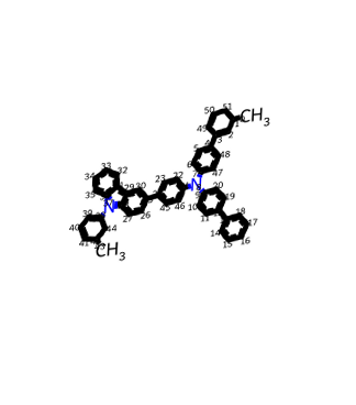 CC1C=C(c2ccc(N(c3ccc(-c4ccccc4)cc3)c3ccc(-c4ccc5c(c4)c4ccccc4n5C4=CC=CC(C)C4)cc3)cc2)C=CC1